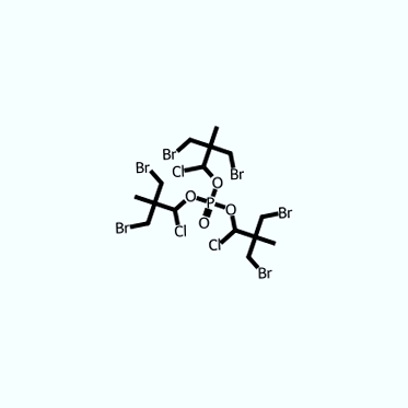 CC(CBr)(CBr)C(Cl)OP(=O)(OC(Cl)C(C)(CBr)CBr)OC(Cl)C(C)(CBr)CBr